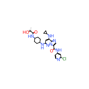 C[C@@H](O)C(=O)NC1CCC(Nc2cc(NC3CC3)c3ncc(C(=O)Nc4ccnc(Cl)c4)n3n2)CC1